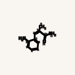 CC(=Cc1ccccc1N)C(N)=O